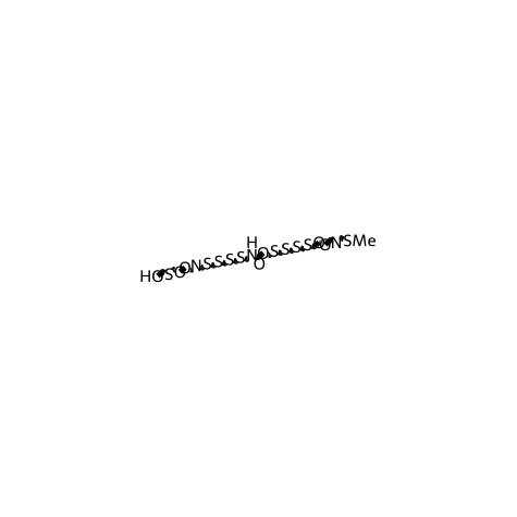 CSC/N=C/OOCSCSCSCSCOC(=O)NCSCSCSCSC/N=C/OOCSCO